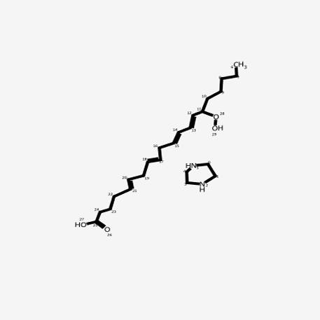 C1CNCCN1.CCCCCC(C=CC=CCC=CCC=CCCCC(=O)O)OO